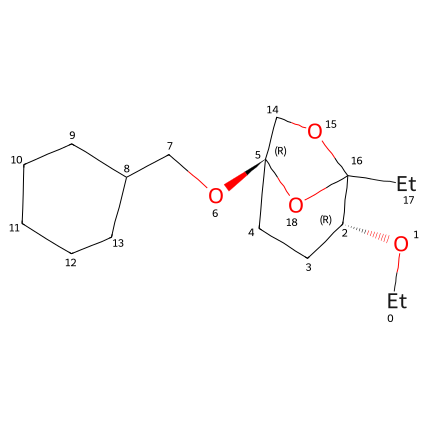 CCO[C@@H]1CC[C@]2(OCC3CCCCC3)COC1(CC)O2